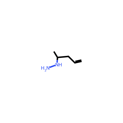 C=CCC(C)NN